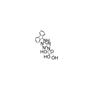 OC[C@H]1O[C@@H](n2cnc3c(NC4c5ccccc5-c5ccccc54)ncnc32)C(O)C1O